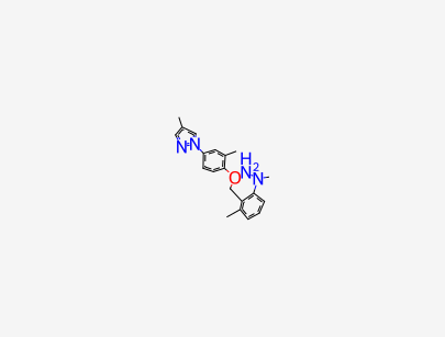 Cc1cnn(-c2ccc(OCc3c(C)cccc3N(C)N)c(C)c2)c1